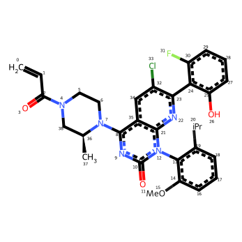 C=CC(=O)N1CCN(c2nc(=O)n(-c3c(OC)cccc3C(C)C)c3nc(-c4c(O)cccc4F)c(Cl)cc23)[C@@H](C)C1